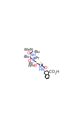 CCCO[C@H](C[C@H](C(C)C)N(CCC)C(=O)[C@@H](NC(=O)[C@H](NC)[C@@H](C)CC)[C@@H](C)CC)c1nc(C(=O)N[C@H]2Cc3ccccc3[C@H](C(=O)O)C2)cs1